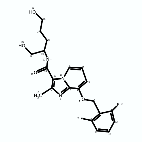 Cc1nc2c(OCc3c(F)cccc3F)cccn2c1C(=O)NC(CO)CCCO